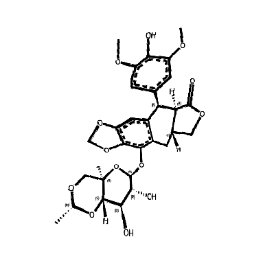 COc1cc([C@@H]2c3cc4c(c(O[C@@H]5O[C@]6(C)CO[C@@H](C)O[C@H]6[C@H](O)[C@H]5O)c3C[C@H]3COC(=O)[C@@H]32)OCO4)cc(OC)c1O